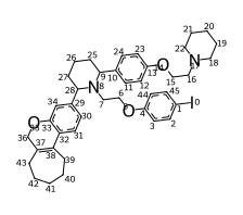 Ic1ccc(OCCN2C(c3ccc(OCCN4CCCCC4)cc3)CCCC2c2ccc3c(c2)OCC2=C3CCCCC2)cc1